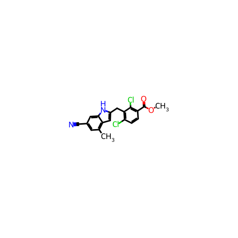 COC(=O)c1ccc(Cl)c(Cc2cc3c(C)cc(C#N)cc3[nH]2)c1Cl